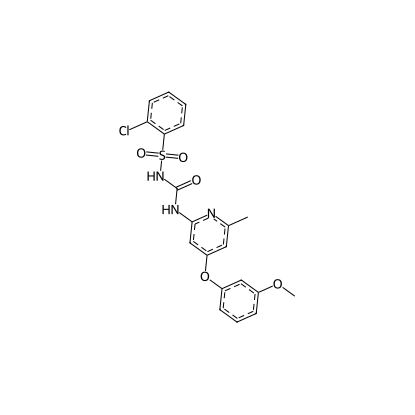 COc1cccc(Oc2cc(C)nc(NC(=O)NS(=O)(=O)c3ccccc3Cl)c2)c1